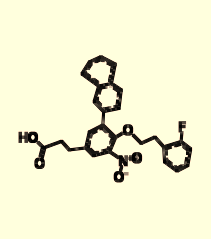 O=C(O)CCc1cc(-c2ccc3ccccc3c2)c(OCCc2ccccc2F)c([N+](=O)[O-])c1